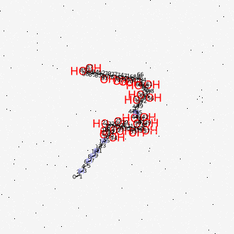 C=C/C=C/CC/C=C/C=C/C=C/CC/C=C/C1OOC2C(O)CC(C(O)C(O)C(=C)CCC(O)C3CC(O)C(O)C(C(O)C(O)/C=C(\C)CCC(O)CC(O)C(O)C(C)CC(O)C(O)CC(C)CCC(O)CC(=O)CC(O)CCCC(O)CCCCC(O)CO)O3)OC2C1O